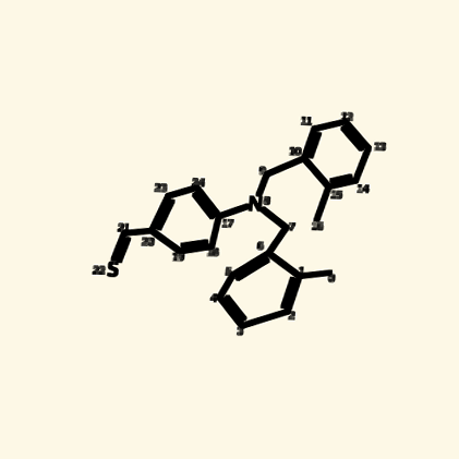 Cc1ccccc1CN(Cc1ccccc1C)c1ccc(C=S)cc1